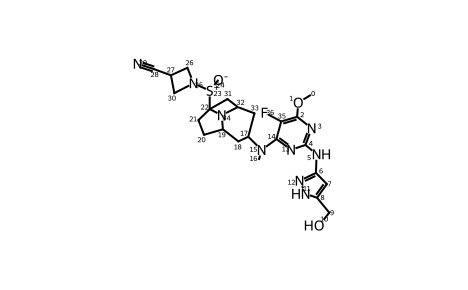 COc1nc(Nc2cc(CO)[nH]n2)nc(N(C)C2CC3CCC4([S+]([O-])N5CC(C#N)C5)CC(C2)N34)c1F